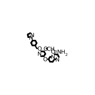 COc1cc(Oc2ccc3ncc(N)c(=O)n3c2)cnc1OCc1ccc(-n2cccn2)cc1